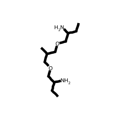 CCC(N)COCC(C)COCC(N)CC